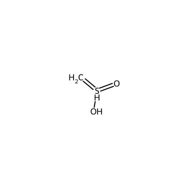 C=[SH](=O)O